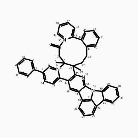 C=C1CC2(C)[n+]3cc(-c4ccccc4)ccc3-c3cc4c5cccc6c7ccccc7n(c4nc3C2(C)CCc2ccccc2-c2cccc[n+]21)c65